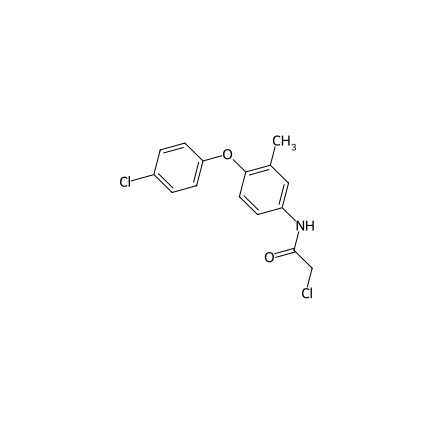 Cc1cc(NC(=O)CCl)ccc1Oc1ccc(Cl)cc1